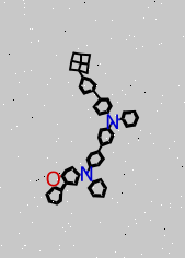 c1ccc(N(c2ccc(-c3ccc(N(c4ccccc4)c4ccc5oc6ccccc6c5c4)cc3)cc2)c2ccc(-c3ccc(C45CC6CC7CC(C4)C765)cc3)cc2)cc1